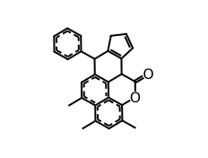 Cc1cc(C)c2c(C)cc3c4c2c1OC(=O)C4C1=C(CC=C1)C3c1ccccc1